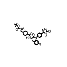 CC(C)(C)OC(=O)NCC1CCC(C(=O)N[C@@H](Cc2ccc(I)cc2)C(=O)Nc2ccc(-c3nnc(Cl)[nH]3)cc2)CC1